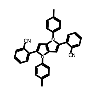 Cc1ccc(-n2c(-c3ccccc3C#N)cc3c2cc(-c2ccccc2C#N)n3-c2ccc(C)cc2)cc1